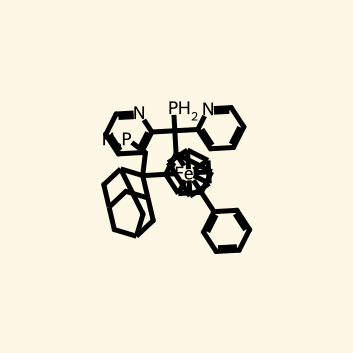 PCC1([C]23[CH]4[C]5(c6ccccc6)[CH]6[C]2(C(P)(c2ccccn2)c2ccccn2)[Fe]64532789[CH]3[CH]2[CH]7[CH]8[CH]39)C2CC3CC(C2)CC1C3